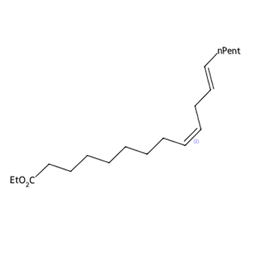 CCCCCC=CC/C=C\CCCCCCCC(=O)OCC